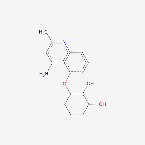 Cc1cc(N)c2c(OC3CCCC(O)C3O)cccc2n1